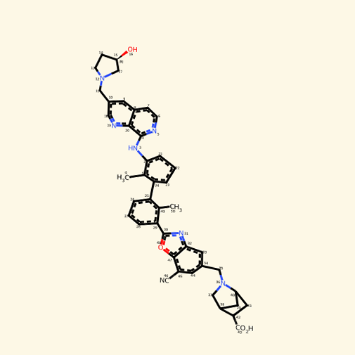 Cc1c(Nc2nccc3cc(CN4CC[C@@H](O)C4)cnc23)cccc1-c1cccc(-c2nc3cc(CN4CC5CC4CC5C(=O)O)cc(C#N)c3o2)c1C